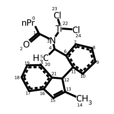 CCCC(=O)[N](C(C)c1ccccc1C1C(C)=Cc2ccccc21)[Ti]([Cl])[Cl]